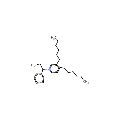 CCCCCCc1cc[n+](C(CC)c2ccccc2)cc1CCCCCC